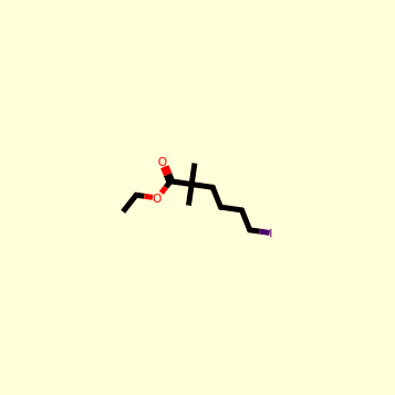 CCOC(=O)C(C)(C)CCCCI